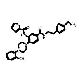 Cc1ccccc1N1CCN(c2ccc(C(=O)NCCc3ccc(CN)cc3)cc2NC(=O)c2ccco2)CC1